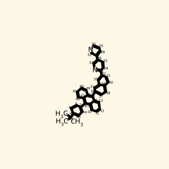 CC(C)(C)c1ccc(-c2c3ccccc3c(-c3ccc4ccc(-c5ccc(-c6cccnc6)cn5)cc4c3)c3ccccc23)cc1